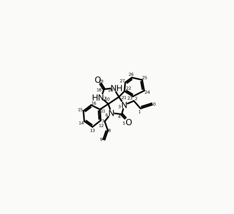 C=CCN1C(=O)N(CC=C)C2(c3ccccc3)NC(=O)NC12c1ccccc1